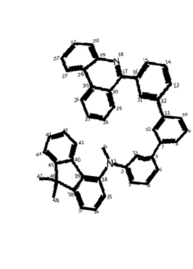 CN(c1cccc(-c2cccc(-c3cccc(-c4nc5ccccc5c5ccccc45)c3)c2)c1)c1cccc2c1-c1ccccc1C2(C)C